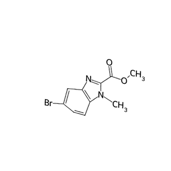 COC(=O)c1nc2cc(Br)ccc2n1C